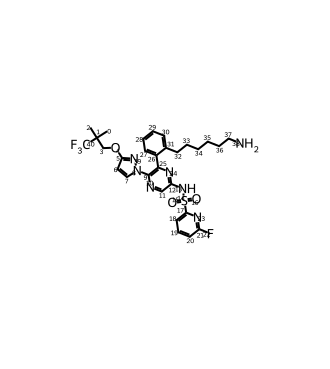 CC(C)(COc1ccn(-c2ncc(NS(=O)(=O)c3cccc(F)n3)nc2-c2ccccc2CCCCCCN)n1)C(F)(F)F